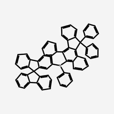 c1ccc(-c2c3c(c4ccccc4c2N(c2ccccc2)c2ccc4c(c2)C2(c5ccccc5-c5ccccc52)c2ccccc2-4)C(c2ccccc2)(c2ccccc2)c2ccccc2-3)cc1